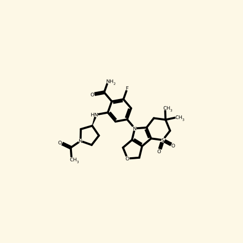 CC(=O)N1CC[C@H](Nc2cc(-n3c4c(c5c3CC(C)(C)CS5(=O)=O)COC4)cc(F)c2C(N)=O)C1